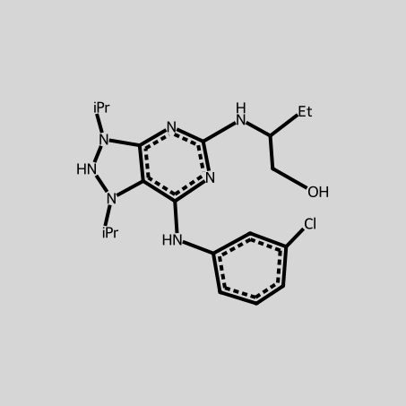 CCC(CO)Nc1nc(Nc2cccc(Cl)c2)c2c(n1)N(C(C)C)NN2C(C)C